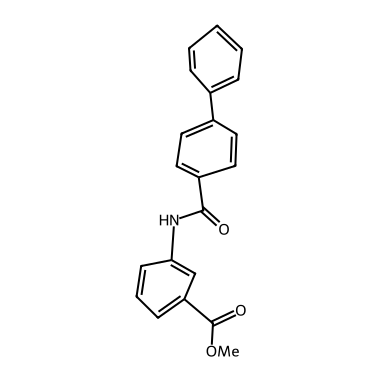 COC(=O)c1cccc(NC(=O)c2ccc(-c3ccccc3)cc2)c1